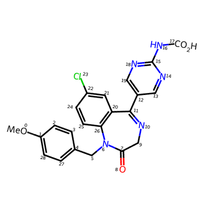 COc1ccc(CN2C(=O)CN=C(c3cnc(NC(=O)O)nc3)c3cc(Cl)ccc32)cc1